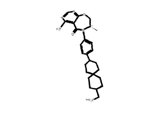 C[C@H]1COc2ncnc(N)c2C(=O)N1c1ccc(C2CCC3(CCC(CC(=O)O)CC3)CC2)cc1